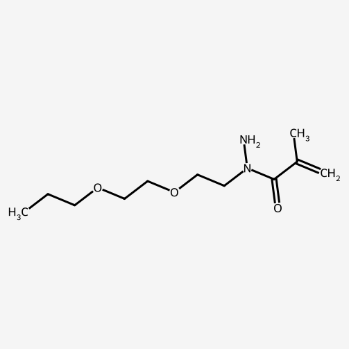 C=C(C)C(=O)N(N)CCOCCOCCC